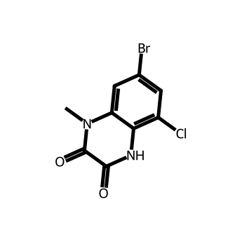 Cn1c(=O)c(=O)[nH]c2c(Cl)cc(Br)cc21